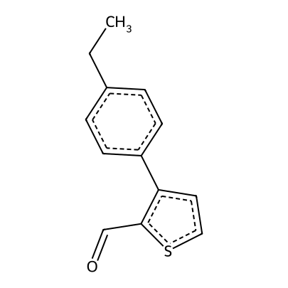 CCc1ccc(-c2ccsc2C=O)cc1